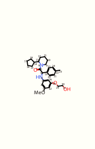 COc1cc(NC(C(=O)N2CCCCC2C2CCCC2)c2ccc(C)cc2)cc(OCCO)c1